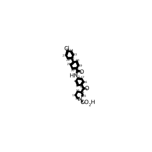 O=C(Nc1ccc(C(=O)C2CCCN(C(=O)O)C2)cc1)c1ccc(-c2ccc(Cl)cc2)cc1